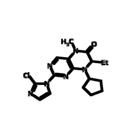 CCC1C(=O)N(C)c2cnc(-n3ccnc3Cl)nc2N1C1CCCC1